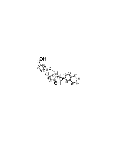 OCc1csc([C@H]2CC[C@@H]3[C@@H](COc4ccc5c(c4)CCCC5)[C@@H](O)C[C@@H]3O2)n1